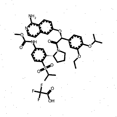 CCOc1cc([C@H](Oc2ccc3c(N)nccc3c2)C(=O)N2CCC[C@@H]2c2cc(NC(=O)OC)ccc2S(=O)(=O)C(C)C)ccc1OC(C)C.O=C(O)C(F)(F)F